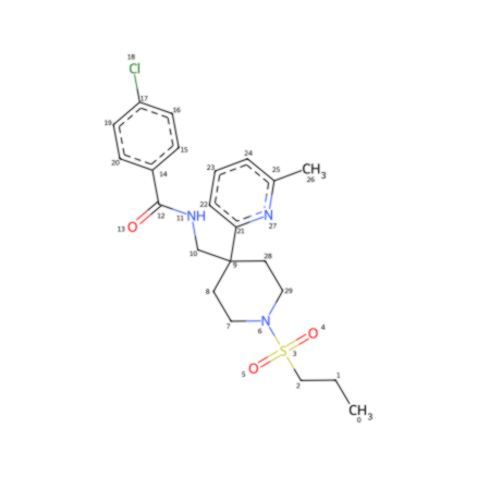 CCCS(=O)(=O)N1CCC(CNC(=O)c2ccc(Cl)cc2)(c2cccc(C)n2)CC1